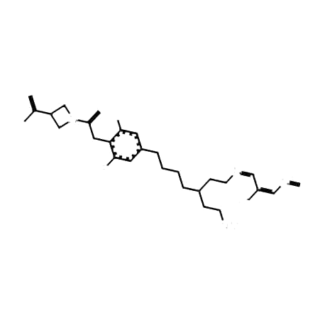 C=N/C=C(Cl)\C=N/CCC(CCCCc1cc(F)c(CC(=C)N2CC(C(=C)C)C2)c(F)c1)CCNC